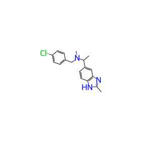 Cc1nc2cc(C(C)N(C)Cc3ccc(Cl)cc3)ccc2[nH]1